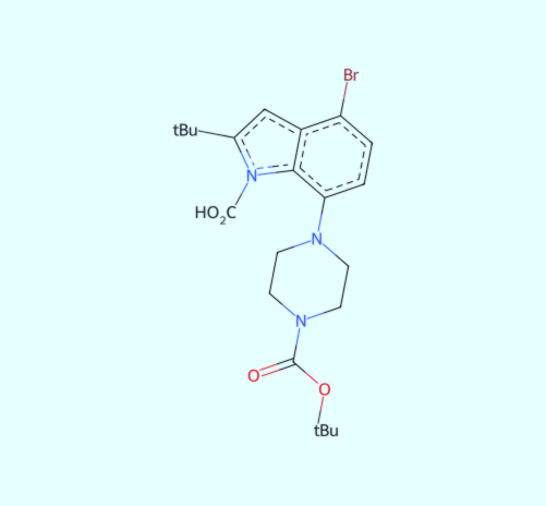 CC(C)(C)OC(=O)N1CCN(c2ccc(Br)c3cc(C(C)(C)C)n(C(=O)O)c23)CC1